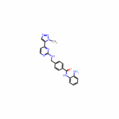 Cn1nncc1-c1ccnc(NCc2ccc(C(=O)Nc3ccccc3N)cc2)n1